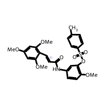 COc1cc(OC)c(/C=C/C(=O)Nc2ccc(OC)c(OS(=O)(=O)c3ccc(C)cc3)c2)c(OC)c1